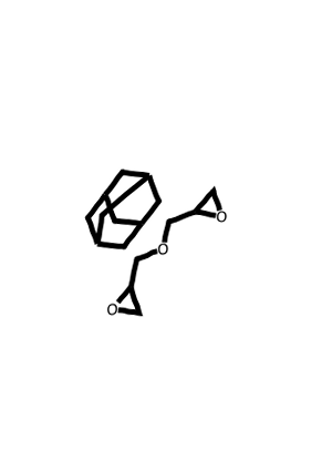 C(OCC1CO1)C1CO1.C1C2CC3CC1CC(C2)C3